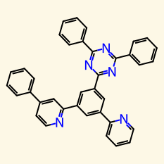 c1ccc(-c2ccnc(-c3cc(-c4ccccn4)cc(-c4nc(-c5ccccc5)nc(-c5ccccc5)n4)c3)c2)cc1